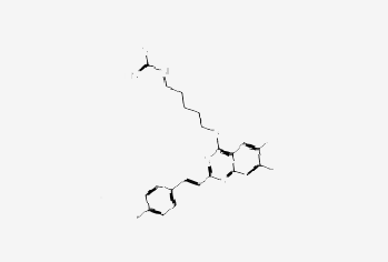 Cc1cc2nc(C=Cc3ccc(Cl)cc3)nc(NCCCCCNC(=N)N)c2cc1C.Cl.Cl